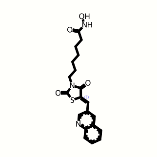 O=C(CCCCCCN1C(=O)S/C(=C\c2cnc3ccccc3c2)C1=O)NO